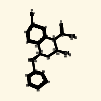 CC(=O)N1c2cc(Br)ccc2[C@H](Nc2ccccc2)C[C@@H]1C